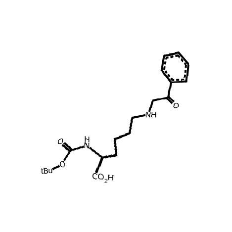 CC(C)(C)OC(=O)NC(CCCCNCC(=O)c1ccccc1)C(=O)O